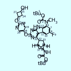 CN(C(=O)OC(C)(C)C)c1cc(F)cc2c1[nH]c1nc(Oc3cnc(OC4CC(O)C4)nc3)nc(C3C[C@@H]4C[C@H]3C[C@@H]4NC(=O)OC(C)(C)C)c12